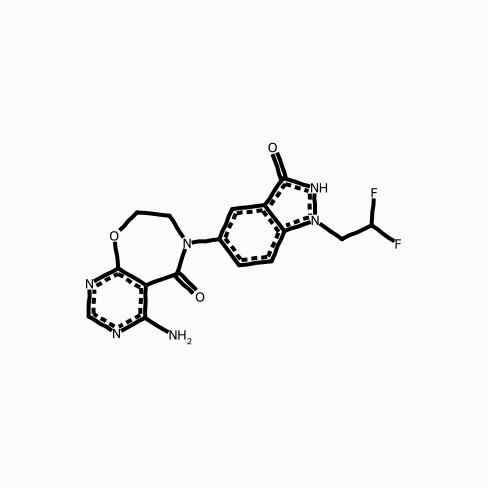 Nc1ncnc2c1C(=O)N(c1ccc3c(c1)c(=O)[nH]n3CC(F)F)CCO2